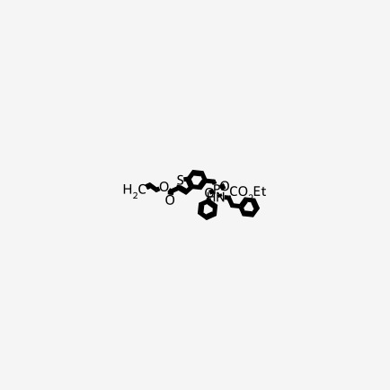 C=CCOC(=O)c1cc2cc(CP(=O)(N[C@@H](Cc3ccccc3)C(=O)OCC)Oc3ccccc3)ccc2s1